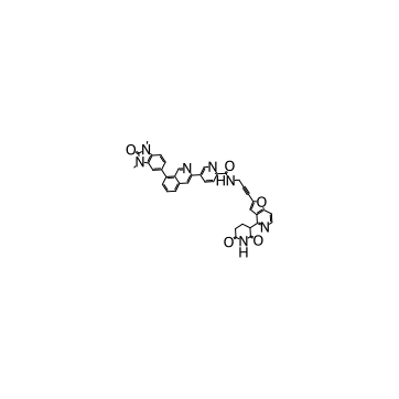 Cn1c(=O)n(C)c2cc(-c3cccc4cc(-c5ccc(C(=O)NCC#Cc6cc7c(C8CCC(=O)NC8=O)nccc7o6)nc5)ncc34)ccc21